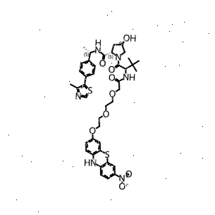 Cc1ncsc1-c1ccc([C@H](C)NC(=O)[C@@H]2C[C@@H](O)CN2C(=O)C(NC(=O)COCCOCCOc2ccc3c(c2)Sc2cc([N+](=O)[O-])ccc2N3)C(C)(C)C)cc1